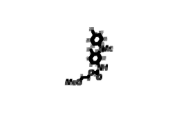 COCCOC(=O)Nc1ccc(C)c(N(C(C)=O)c2ccc(C)cc2)c1